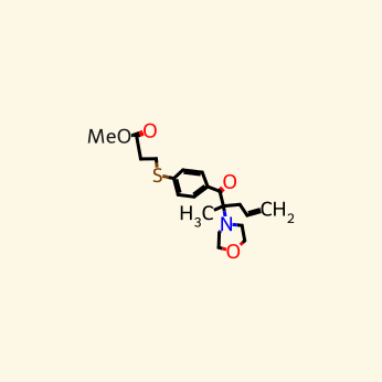 C=CCC(C)(C(=O)c1ccc(SCCC(=O)OC)cc1)N1CCOCC1